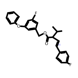 CC(C)C(/C=C/c1ccc(F)cc1)C(=O)OCc1cc(F)cc(Oc2ccccc2)c1